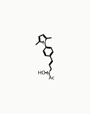 CC(=O)N(O)C/C=C/c1ccc(-n2c(C)ccc2C)cc1